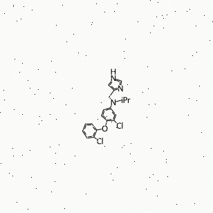 CC(C)N(Cc1c[nH]cn1)c1ccc(Oc2ccccc2Cl)c(Cl)c1